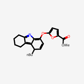 CCCCC1C=CC(Oc2ccc(C(=O)OC)o2)=C2N=C3CCCCC3=C21